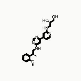 COc1ccccc1[C@H](C)CNc1cc(-c2ccnc(NC[C@H](O)CO)c2)ncn1